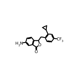 Nc1ccc2c(c1)C(=O)OC2Cc1ccc(C(F)(F)F)cc1C1CC1